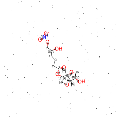 O=C(CCC[C@H](O)CO[N+](=O)[O-])O[C@@H]1CO[C@H]2[C@@H]1OC[C@H]2O